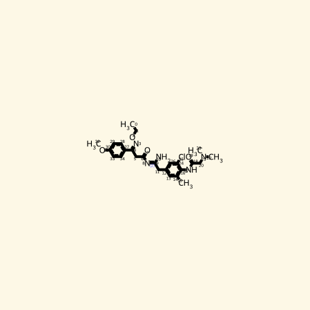 CCON=C(CC(=O)/N=C(\N)Cc1cc(C)c(NC(=O)CN(C)C)c(Cl)c1)c1ccc(OC)cc1